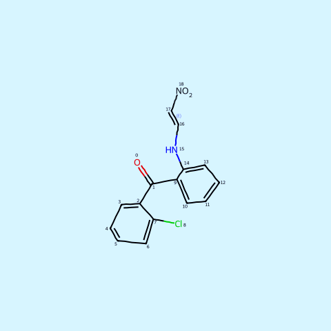 O=C(c1ccccc1Cl)c1ccccc1N/C=C/[N+](=O)[O-]